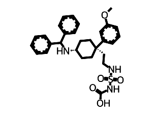 COc1cccc([C@]2(CCNS(=O)(=O)NC(=O)O)CC[C@@H](NC(c3ccccc3)c3ccccc3)CC2)c1